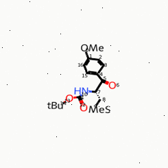 COc1ccc(C(=O)[C@H](CSC)NC(=O)OC(C)(C)C)cc1